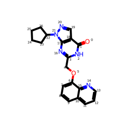 O=c1[nH]c(COc2cccc3cccnc23)nc2c1cnn2C1CCCC1